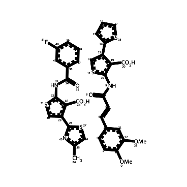 COc1ccc(C=CC(=O)Nc2scc(-c3cccs3)c2C(=O)O)cc1OC.Cc1csc(-c2csc(NC(=O)c3cccc(F)c3)c2C(=O)O)n1